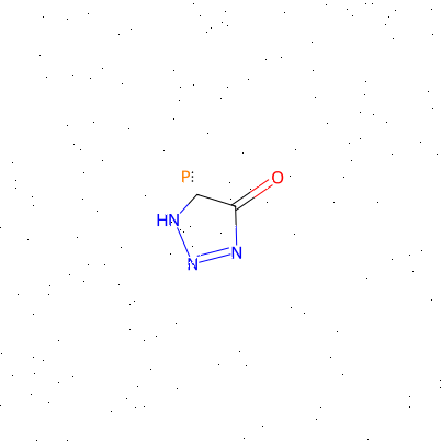 O=C1CNN=N1.[P]